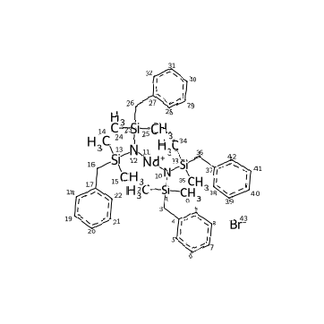 C[Si](C)(Cc1ccccc1)[N]([Nd+][N]([Si](C)(C)Cc1ccccc1)[Si](C)(C)Cc1ccccc1)[Si](C)(C)Cc1ccccc1.[Br-]